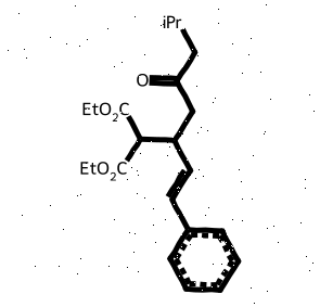 CCOC(=O)C(C(=O)OCC)C(C=Cc1ccccc1)CC(=O)CC(C)C